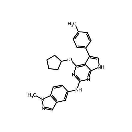 Cc1ccc(-c2c[nH]c3nc(Nc4ccc5c(cnn5C)c4)nc(OC4CCCC4)c23)cc1